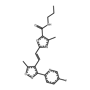 CCCNC(=O)c1sc(C=Cc2c(-c3ccc(F)cn3)noc2C)nc1C